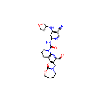 N#Cc1cnc(NC(=O)N2CCCc3cc(CN4CCCCOC4=O)c(C=O)nc32)cc1NC1CCOC1